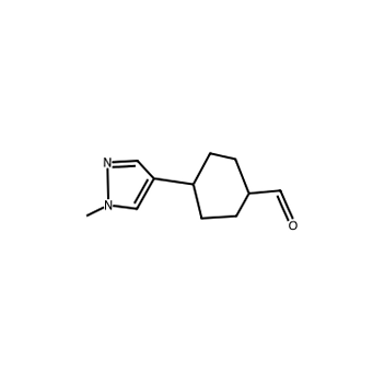 Cn1cc(C2CCC(C=O)CC2)cn1